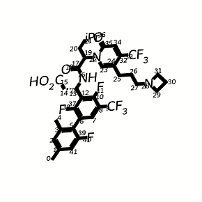 Cc1cc(C)c(-c2cc(C(F)(F)F)c(F)c([C@H](CC(=O)O)NC(=O)C(CC(C)C)n3cc(CCCN4CCC4)c(C(F)(F)F)cc3=O)c2F)c(F)c1